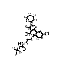 Cc1c2c(=O)n(CCCNC(=O)OC(C)(C)C)c3ccc(Cl)cc3c2nn1C1CCCCO1